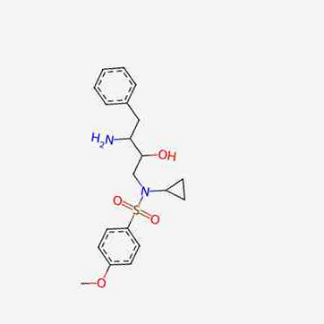 COc1ccc(S(=O)(=O)N(CC(O)C(N)Cc2ccccc2)C2CC2)cc1